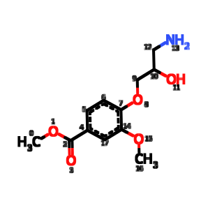 COC(=O)c1ccc(OCC(O)CN)c(OC)c1